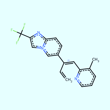 C=C/C(=C\c1ncccc1C)c1ccc2nc(C(F)(F)F)cn2c1